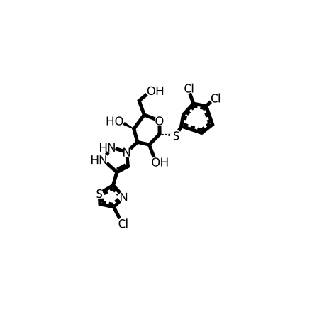 OCC1O[C@H](Sc2ccc(Cl)c(Cl)c2)C(O)C(N2C=C(c3nc(Cl)cs3)NN2)[C@H]1O